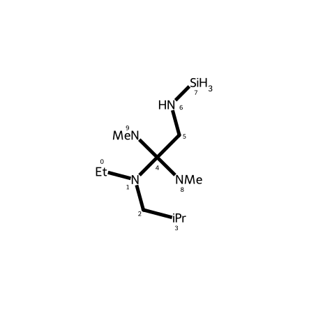 CCN(CC(C)C)C(CN[SiH3])(NC)NC